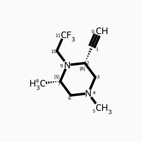 C#C[C@@H]1CN(C)C[C@H](C)N1CC(F)(F)F